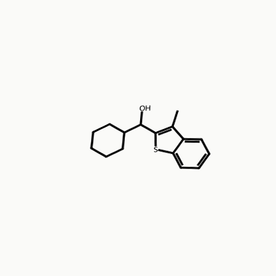 Cc1c(C(O)C2CCCCC2)sc2ccccc12